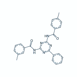 Cc1ccc(C(=O)Nc2nc(NC(=O)c3cccc(C)c3)nc(-c3ccccc3)n2)cc1